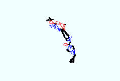 COc1cc2nn(CC(=O)N3CCN(CC4CC4)CC3)cc2cc1NC(=O)OC(C)(C)C